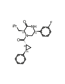 CC(C)C[C@H]1C(=O)N[C@@H](c2cccc(F)c2)CN1C(=O)[C@@H]1C[C@H]1c1ccccc1